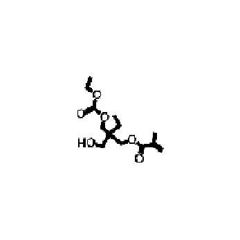 C=C(C)C(=O)OCC(CC)(CO)COC(=O)OCC